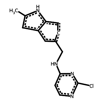 Cc1cc2cc(CNc3ccnc(Cl)n3)ccc2[nH]1